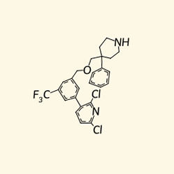 FC(F)(F)c1cc(COCC2(c3ccccc3)CCNCC2)cc(-c2ccc(Cl)nc2Cl)c1